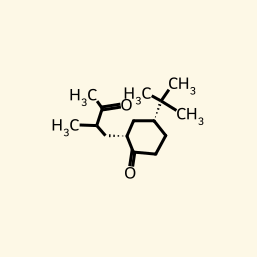 CC(=O)C(C)C[C@@H]1C[C@H](C(C)(C)C)CCC1=O